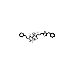 CN(CCc1ccccc1)C(=O)[C@H](O)[C@@H](O)C(=O)NCCc1nc(Cc2ccccc2)cs1